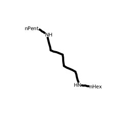 [CH2]CCCCNCCCCNCCCCCC